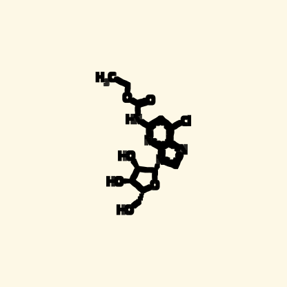 CCOC(=O)Nc1cc(Cl)c2ncn([C@@H]3O[C@H](CO)[C@@H](O)[C@H]3O)c2n1